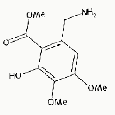 COC(=O)c1c(CN)cc(OC)c(OC)c1O